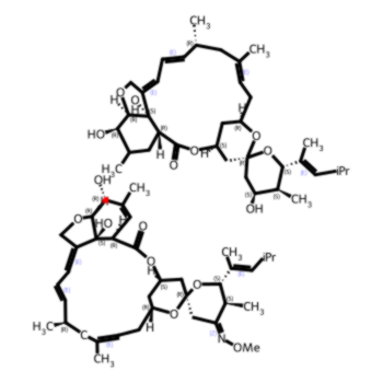 C/C1=C\C[C@@H]2C[C@@H](C[C@]3(C[C@H](O)[C@H](C)[C@@H](/C(C)=C/C(C)C)O3)O2)OC(=O)[C@@H]2CC(C)[C@@H](O)[C@H]3OC/C(=C\C=C\[C@H](C)C1)[C@]32O.CO/N=C1/C[C@]2(C[C@@H]3C[C@@H](C/C=C(\C)C[C@@H](C)/C=C/C=C4\CO[C@@H]5[C@H](O)C(C)=C[C@@H](C(=O)O3)[C@]45O)O2)O[C@H](/C(C)=C/C(C)C)[C@H]1C